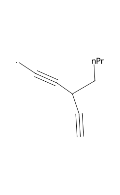 C#CC(C#C[CH2])CCCC